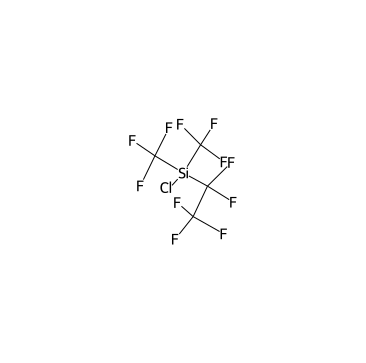 FC(F)(F)C(F)(F)[Si](Cl)(C(F)(F)F)C(F)(F)F